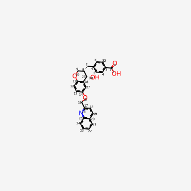 O=C(O)c1ccc(C[C@H]2COc3ccc(OCc4ccc5ccccc5n4)cc3[C@H]2O)cc1